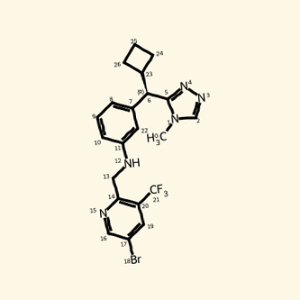 Cn1cnnc1[C@@H](c1cccc(NCc2ncc(Br)cc2C(F)(F)F)c1)C1CCC1